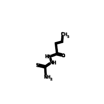 CCCC(=O)NNC(N)=S